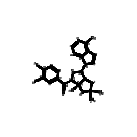 CC1(C)OC2[C@H](n3ccc4c(Cl)ncnc43)O[C@H](C(=O)c3ccc(F)c(F)c3)[C@H]2O1